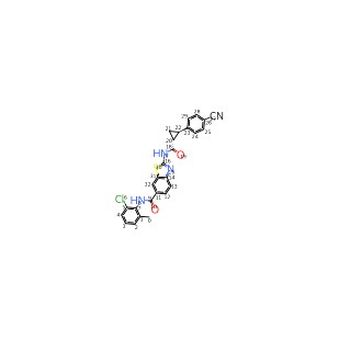 Cc1cccc(Cl)c1NC(=O)c1ccc2nc(NC(=O)[C@@H]3C[C@H]3c3ccc(C#N)cc3)sc2c1